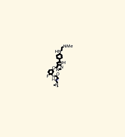 CNCCNc1ccc(-c2cc3c(Oc4ccc(F)c(NC(=O)/C=C/CN(C)C)c4)ncnc3[nH]2)cc1